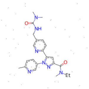 CCN(C)C(=O)c1cc(-c2ccc(CNC(=O)N(C)C)cn2)n(-c2ccc(C)nc2)n1